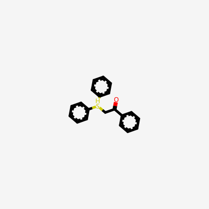 O=C(C[SH](c1ccccc1)c1ccccc1)c1ccccc1